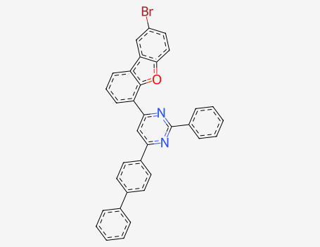 Brc1ccc2oc3c(-c4cc(-c5ccc(-c6ccccc6)cc5)nc(-c5ccccc5)n4)cccc3c2c1